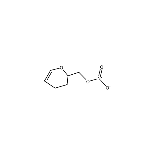 O=[N+]([O-])OCC1CCC=CO1